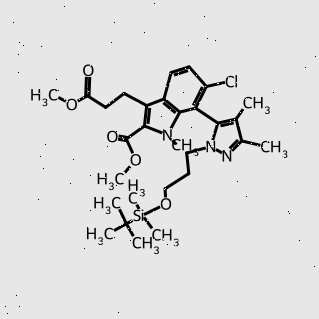 COC(=O)CCc1c(C(=O)OC)n(C)c2c(-c3c(C)c(C)nn3CCCO[Si](C)(C)C(C)(C)C)c(Cl)ccc12